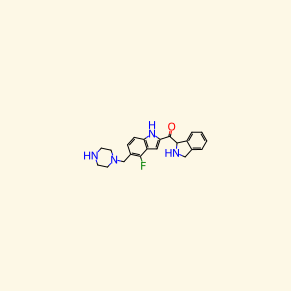 O=C(c1cc2c(F)c(CN3CCNCC3)ccc2[nH]1)C1NCc2ccccc21